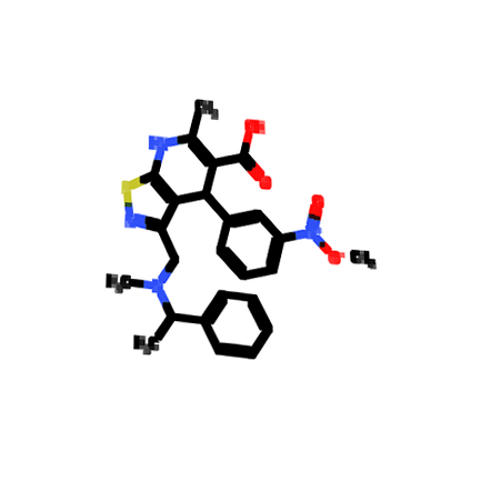 C.CC1=C(C(=O)O)C(c2cccc([N+](=O)[O-])c2)c2c(CN(C)C(C)c3ccccc3)nsc2N1